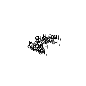 [2H]C([2H])(C)C([2H])([2H])C([2H])(C)c1nn(C)c2c(=O)[nH]c(-c3cc(S(=O)(=O)N4CC(C)N(CC)C(C)(C)C4)c(C)cc3OC(C)(C)CC)nc12